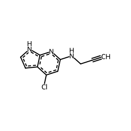 C#CCNc1cc(Cl)c2cc[nH]c2n1